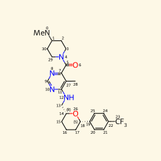 CNC1CCN(C(=O)c2ncnc(NC[C@H]3CCC[C@@H](c4ccc(C(F)(F)F)cc4)O3)c2C)CC1